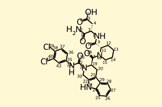 NC(=O)[C@H](CC(=O)O)NC(=O)[C@@H]1CCCCN1C(=O)[C@H]1Cc2c([nH]c3ccccc23)CN1C(=O)Nc1ccc(Cl)c(Cl)c1